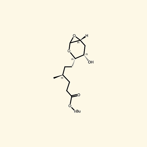 CCCCOC(=O)CC[C@@H](C)CC[C@@H]1OC2O[C@@H]2C[C@@H]1O